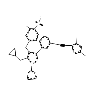 Cc1cc(C)c(C#Cc2cccc(-c3nn(-c4nccs4)c(CC4CC4)c3Cc3ccc(S(N)(=O)=O)c(F)c3)c2)s1